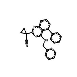 N#CC1(c2nc(NCc3ccccn3)c3c(-c4ccccc4)cccc3n2)CC1